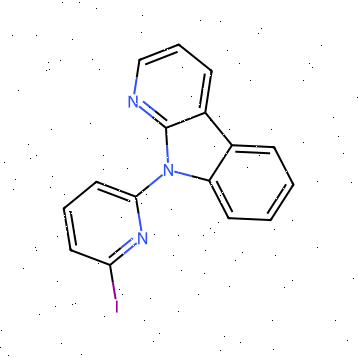 Ic1cccc(-n2c3ccccc3c3cccnc32)n1